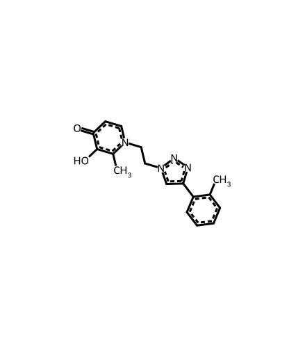 Cc1ccccc1-c1cn(CCn2ccc(=O)c(O)c2C)nn1